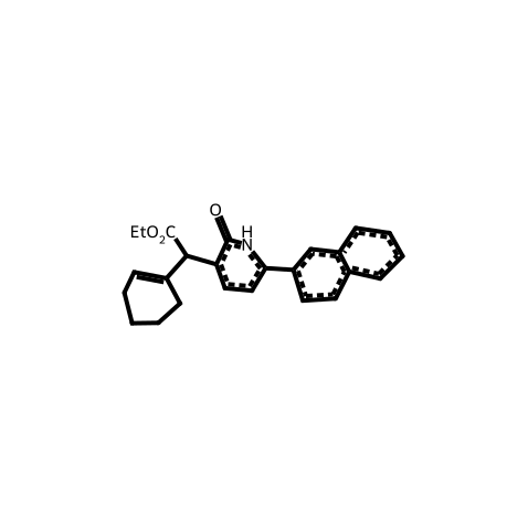 CCOC(=O)C(C1=CCCCC1)c1ccc(-c2ccc3ccccc3c2)[nH]c1=O